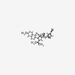 CC1CCC2C(CCC3C2CCC2(C)C(C(=O)Cn4cc(C#N)cn4)CC(C(C)C)C32)C1